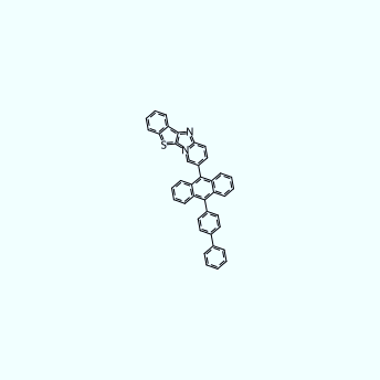 c1ccc(-c2ccc(-c3c4ccccc4c(-c4ccc5nc6c7ccccc7sc6n5c4)c4ccccc34)cc2)cc1